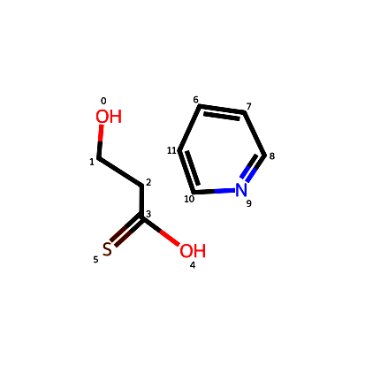 OCCC(O)=S.c1ccncc1